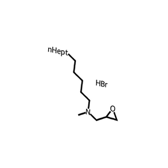 Br.CCCCCCCCCCCCN(C)CC1CO1